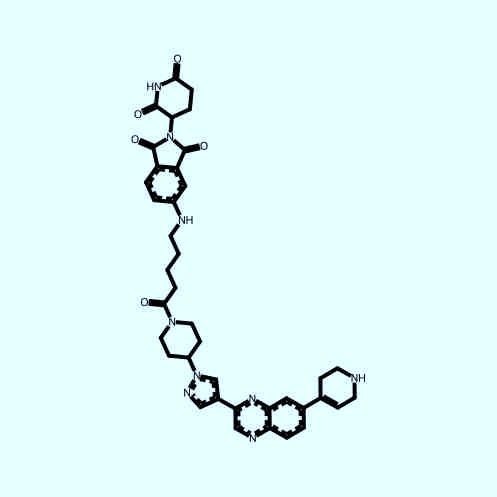 O=C1CCC(N2C(=O)c3ccc(NCCCCC(=O)N4CCC(n5cc(-c6cnc7ccc(C8=CCNCC8)cc7n6)cn5)CC4)cc3C2=O)C(=O)N1